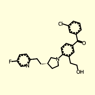 O=C(c1cccc(Cl)c1)c1ccc(N2CC[C@H](CCc3ccc(F)cn3)C2)c(CCO)c1